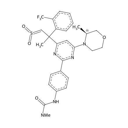 CNC(=O)Nc1ccc(-c2nc(N3CCOC[C@@H]3C)cc(C(C)(C=S(=O)=O)c3ccccc3C(F)(F)F)n2)cc1